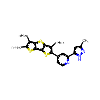 CCCCCCc1sc2c(sc3c(CCCCCC)c(-c4ccnc(-c5cc(C(F)(F)F)n[nH]5)c4)sc32)c1CCCCCC